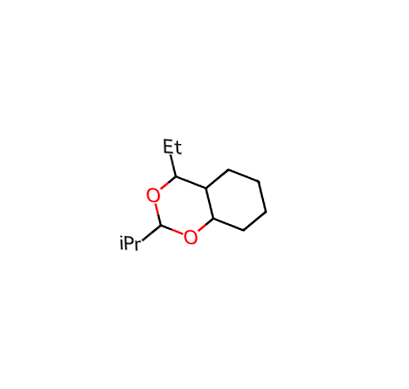 CCC1OC(C(C)C)OC2CCCCC12